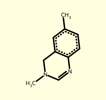 Cc1ccc2c(c1)CN(C)C=N2